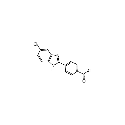 O=C(Cl)c1ccc(-c2nc3cc(Cl)ccc3[nH]2)cc1